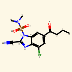 CCCC(=O)c1cc(Br)c2nc(C#N)n(S(=O)(=O)N(C)C)c2c1